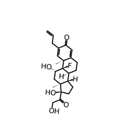 C=CCC1=C[C@@]2(C)C(=CC1=O)CC[C@H]1[C@@H]3CC[C@](O)(C(=O)CO)[C@@]3(C)C[C@H](O)[C@@]12F